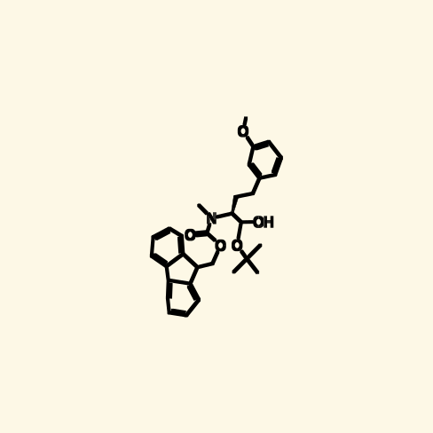 COc1cccc(CC[C@@H](C(O)OC(C)(C)C)N(C)C(=O)OCC2c3ccccc3-c3ccccc32)c1